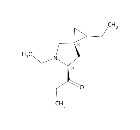 CCC(=O)[C@@H]1C[C@]2(CC2CC)CN1CC